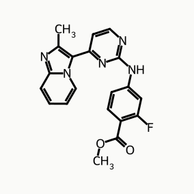 COC(=O)c1ccc(Nc2nccc(-c3c(C)nc4ccccn34)n2)cc1F